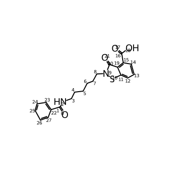 O=C(NCCCCCCn1sc2cccc(C(=O)O)c2c1=O)c1ccccc1